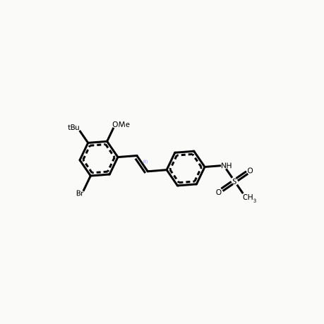 COc1c(/C=C/c2ccc(NS(C)(=O)=O)cc2)cc(Br)cc1C(C)(C)C